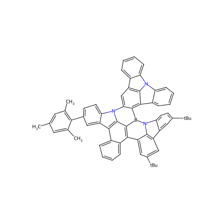 Cc1cc(C)c(-c2ccc3c(c2)c2c4ccccc4c4c5c2n3-c2cc3c6ccccc6n6c7ccccc7c(c2B5n2c5ccc(C(C)(C)C)cc5c5cc(C(C)(C)C)cc-4c52)c36)c(C)c1